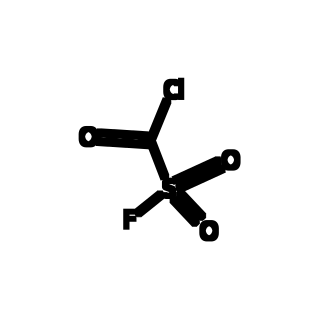 O=C(Cl)S(=O)(=O)F